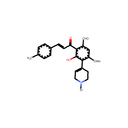 CCN1CC=C(c2c(OC)cc(C=O)c(C(=O)/C=C/c3ccc(C)cc3)c2O)CC1